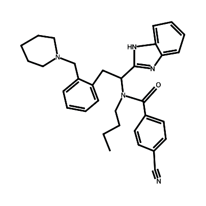 CCCCN(C(=O)c1ccc(C#N)cc1)C(Cc1ccccc1CN1CCCCC1)c1nc2ccccc2[nH]1